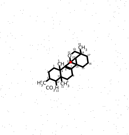 CC1CCC2(C)C3=C(CCC2(C)C1C(=O)O)C12CCCC(C)(COC1)C2CC3